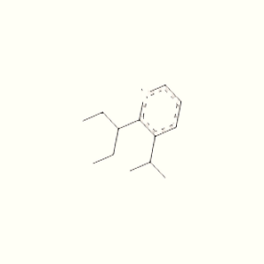 CCC(CC)c1ncccc1C(C)C